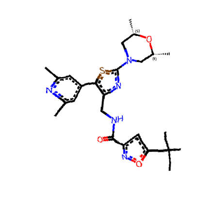 Cc1cc(-c2sc(N3C[C@@H](C)O[C@@H](C)C3)nc2CNC(=O)c2cc(C(C)(C)C)on2)cc(C)n1